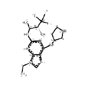 CCn1cnc2c(N[C@H]3CCNC3)nc(N[C@@H](C)[C@@H](O)C(F)(F)F)nc21